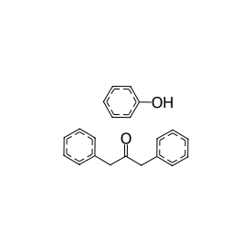 O=C(Cc1ccccc1)Cc1ccccc1.Oc1ccccc1